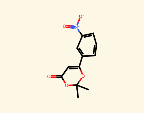 CC1(C)OC(=O)C=C(c2cccc([N+](=O)[O-])c2)O1